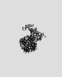 CCCCC(CC)CC[PH2+]CC.Cc1c(F)c(F)c(F)c(C(F)(F)F)c1-c1c(F)c(F)c(F)c(F)c1F.Fc1cc2c(c(F)c1F)-c1c(F)c(F)c(F)c(F)c1[CH]2[Al-]([CH]1c2cc(F)c(F)c(F)c2-c2c(F)c(F)c(F)c(F)c21)([CH]1c2cc(F)c(F)c(F)c2-c2c(F)c(F)c(F)c(F)c21)[CH]1c2cc(F)c(F)c(F)c2-c2c(F)c(F)c(F)c(F)c21